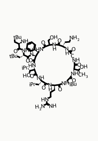 CC[C@H](C)[C@@H]1NC(=O)[C@@H](CCCNC(=N)N)NC(=O)[C@H](CC(C)C)NC(=O)[C@H]([C@H](O)C(C)C)NC(=O)[C@@H](NC(=O)[C@H](CC(C)(C)C)NC(=O)[C@H](N)CC(C)(C)C)[C@@H](c2ccccc2)NC(=O)C(CO)NC(=O)[C@H](CCN)NC(=O)CNC(=O)[C@H]([C@H](C)O)NC1=O